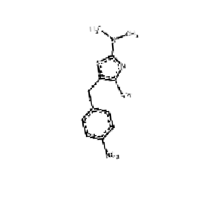 CCCc1nc(N(C)C)sc1Cc1ccc([N+](=O)[O-])cc1